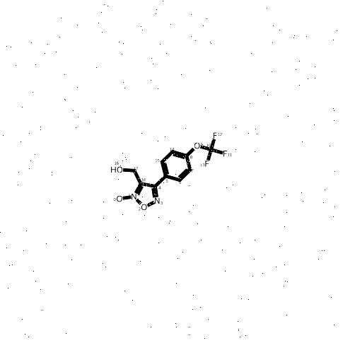 [O-][n+]1onc(-c2ccc(OC(F)(F)F)cc2)c1CO